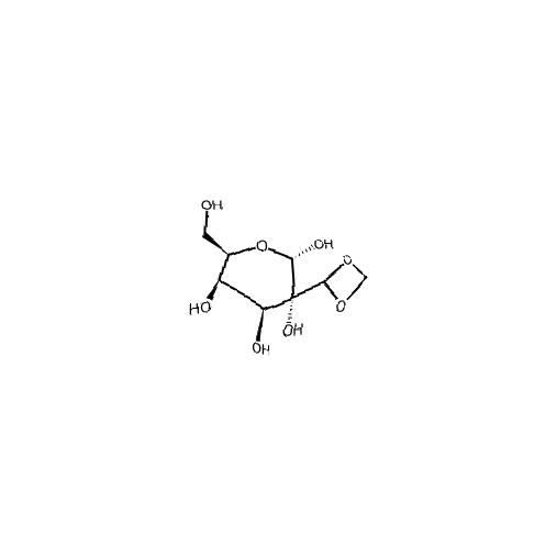 OC[C@H]1O[C@H](O)[C@@](O)(C2OCO2)[C@@H](O)[C@H]1O